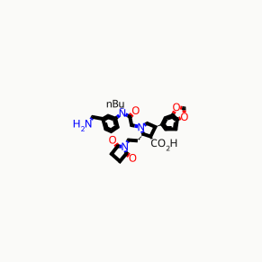 CCCCN(C(=O)CN1C[C@H](c2ccc3c(c2)OCO3)[C@@H](C(=O)O)[C@@H]1CCN1C(=O)CCC1=O)c1cccc(CN)c1